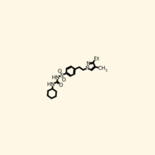 CCc1nn(CCc2ccc(S(=O)(=O)NC(=O)NC3CCCCC3)cc2)cc1C